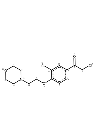 O=C(CCl)c1ccc(OCCN2CCOCC2)c(Cl)c1